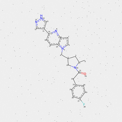 CC1CC(Cn2ccc3nc(-c4cn[nH]c4)ccc32)CN1C(=O)Cc1ccc(F)cc1